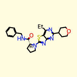 CCc1nc(C2CCOCC2)nc2nc(N3CCC[C@@H]3C(=O)NCc3ccccc3)sc12